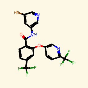 O=C(Nc1cncc(S)c1)c1ccc(C(F)(F)F)cc1Oc1ccc(C(F)(F)F)nc1